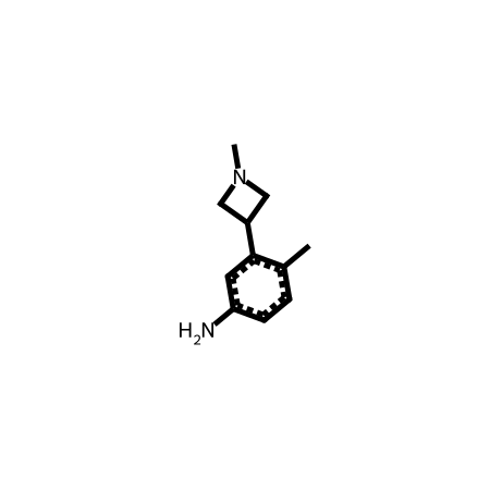 Cc1ccc(N)cc1C1CN(C)C1